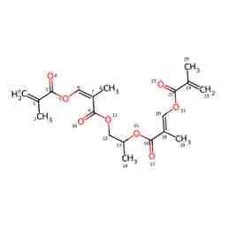 C=C(C)C(=O)OC=C(C)C(=O)OCC(C)OC(=O)C(C)=COC(=O)C(=C)C